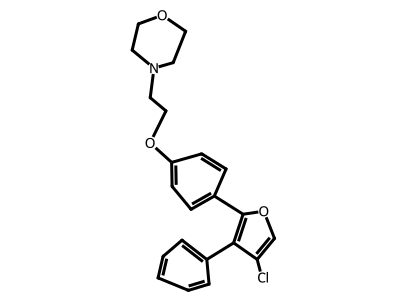 Clc1coc(-c2ccc(OCCN3CCOCC3)cc2)c1-c1ccccc1